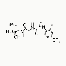 CC(C)C[C@H](NC(=O)CNC(=O)[C@@H]1CCN1c1ccc(C(F)(F)F)cc1F)B(O)O